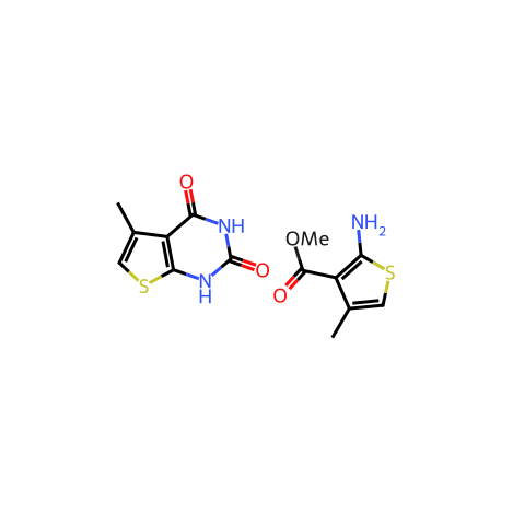 COC(=O)c1c(C)csc1N.Cc1csc2[nH]c(=O)[nH]c(=O)c12